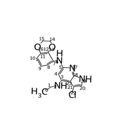 CCNc1cc(Nc2cc[c]c3c2OCCO3)nc2[nH]cc(Cl)c12